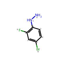 NNc1ccc(Br)cc1F